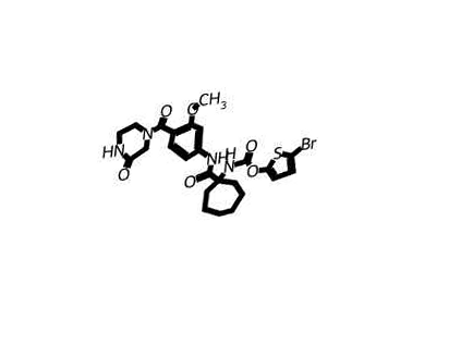 COc1cc(NC(=O)C2(NC(=O)Oc3ccc(Br)s3)CCCCCC2)ccc1C(=O)N1CCNC(=O)C1